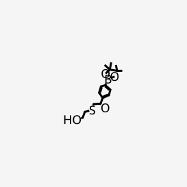 CC1(C)OB(c2ccc(C(=O)CSCCO)cc2)OC1(C)C